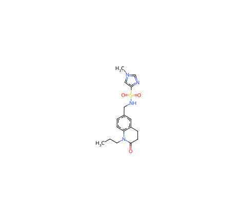 CCCN1C(=O)CCc2cc(CNS(=O)(=O)c3cn(C)cn3)ccc21